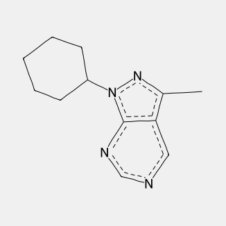 Cc1nn(C2CCCCC2)c2ncncc12